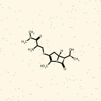 C[C@H](O)[C@H]1C(=O)N2C(C(=O)O)=C(SCC(N)C(=O)N(C)C)C[C@H]12